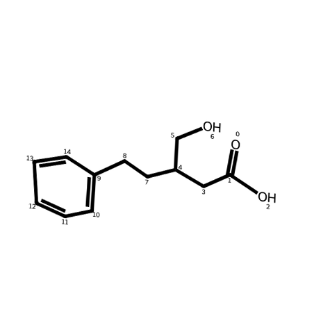 O=C(O)CC(CO)CCc1ccccc1